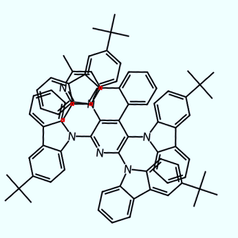 Cc1cc(-c2ccccc2-c2c(-n3c4ccccc4c4cc(C(C)(C)C)ccc43)c(-n3c4ccccc4c4cc(C(C)(C)C)ccc43)nc(-n3c4ccccc4c4cc(C(C)(C)C)ccc43)c2-n2c3ccccc3c3cc(C(C)(C)C)ccc32)cc(C)n1